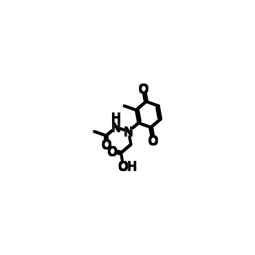 CC(=O)NN(CC(=O)O)C1=C(C)C(=O)C=CC1=O